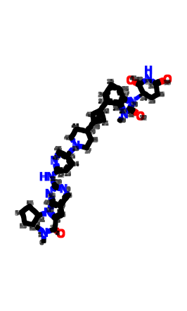 CN(C)C(=O)c1cc2cnc(Nc3ccc(N4CCC(C56CC(c7cccc8c7n(C)c(=O)n8[C@@H]7CCC(=O)NC7=O)(C5)C6)CC4)cn3)nc2n1C1CCCC1